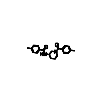 Cc1ccc(C(=O)N[C@@H]2CCCN(C(=O)c3ccc(C)cc3)C2)cc1